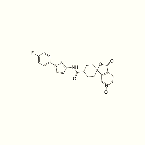 O=C1OC2(CCC(C(=O)Nc3ccn(-c4ccc(F)cc4)n3)CC2)c2c[n+]([O-])ccc21